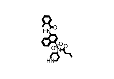 CCCC(=O)N(C1CCNCC1)S(=O)(=O)c1ccc(NC(=O)c2ccccc2C)c2ccccc12